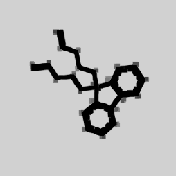 C=CCCC[Si]1(CCCC=C)c2ccccc2-c2ccccc21